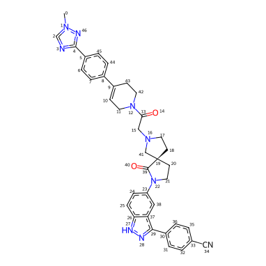 Cn1cnc(-c2ccc(C3=CCN(C(=O)CN4CC[C@]5(CCN(c6ccc7[nH]nc(-c8ccc(C#N)cc8)c7c6)C5=O)C4)CC3)cc2)n1